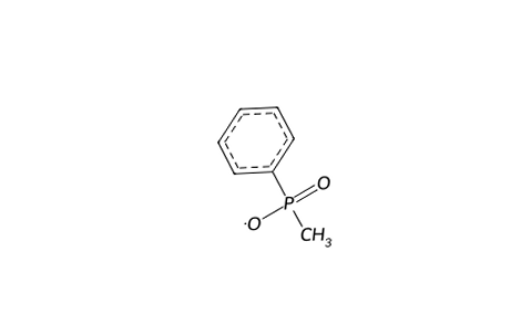 CP([O])(=O)c1ccccc1